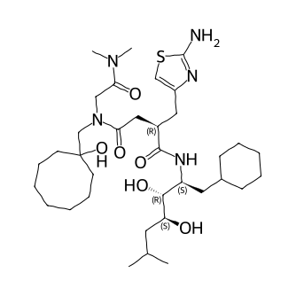 CC(C)C[C@H](O)[C@H](O)[C@H](CC1CCCCC1)NC(=O)[C@@H](CC(=O)N(CC(=O)N(C)C)CC1(O)CCCCCCC1)Cc1csc(N)n1